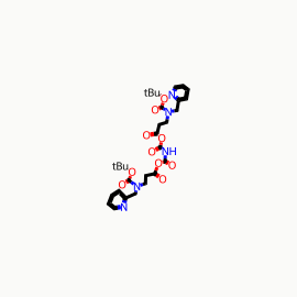 CC(C)(C)OC(=O)N(CCC(=O)OC(=O)NC(=O)OC(=O)CCN(Cc1ccccn1)C(=O)OC(C)(C)C)Cc1ccccn1